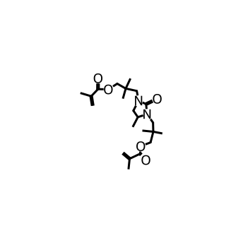 C=C(C)C(=O)OCC(C)(C)CN1CC(C)N(CC(C)(C)COC(=O)C(=C)C)C1=O